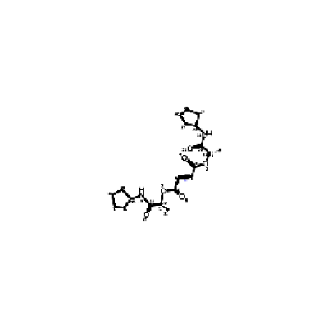 C[C@H](OC(=O)/C=C/C(=O)O[C@@H](C)C(=O)NC1CCCC1)C(=O)NC1CCCC1